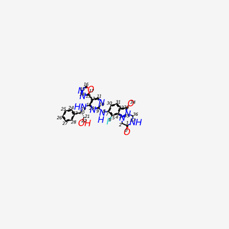 O=C1Cn2c3c(F)c(Nc4ncc(-c5nnco5)c(N[C@H](CO)c5ccccc5)n4)ccc3c(=O)n2CN1